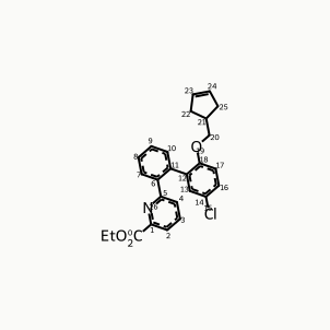 CCOC(=O)c1cccc(-c2ccccc2-c2cc(Cl)ccc2OCC2CC=CC2)n1